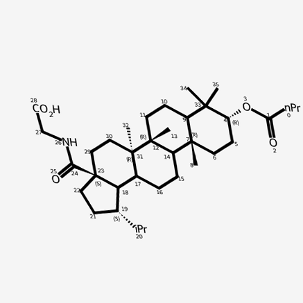 CCCC(=O)O[C@@H]1CC[C@@]2(C)C(CC[C@]3(C)C2CCC2C4[C@H](C(C)C)CC[C@]4(C(=O)NCC(=O)O)CC[C@]23C)C1(C)C